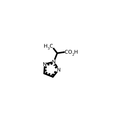 CC(C(=O)O)n1nccn1